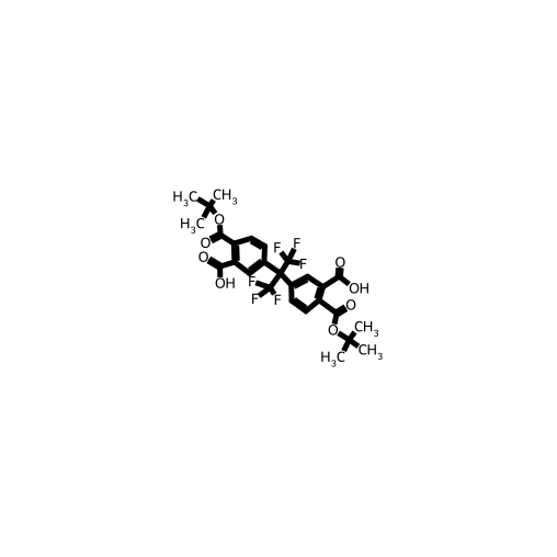 CC(C)(C)OC(=O)c1ccc(C(c2ccc(C(=O)OC(C)(C)C)c(C(=O)O)c2)(C(F)(F)F)C(F)(F)F)cc1C(=O)O